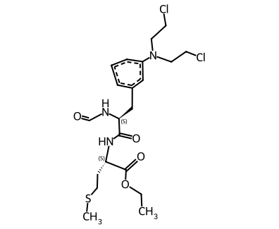 CCOC(=O)[C@H](CCSC)NC(=O)[C@H](Cc1cccc(N(CCCl)CCCl)c1)NC=O